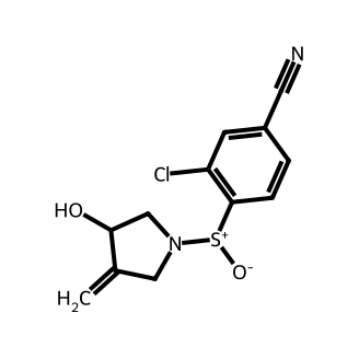 C=C1CN([S+]([O-])c2ccc(C#N)cc2Cl)CC1O